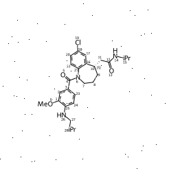 COc1cc(C(=O)N2CCC[C@@H](CC(=O)NC(C)C)c3cc(Cl)ccc32)ccc1NCC(C)C